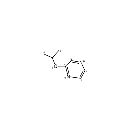 CC(C)Oc1[c]nccn1